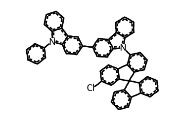 Clc1ccc2c(c1)C1(c3ccccc3-c3ccccc31)c1cccc(-n3c4ccccc4c4cc(-c5ccc6c(c5)c5ccccc5n6-c5ccccc5)ccc43)c1-2